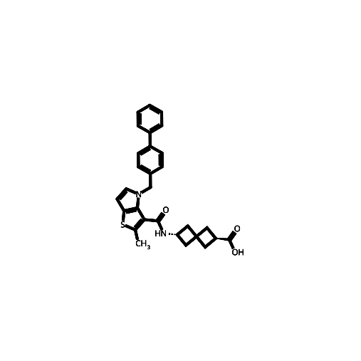 Cc1sc2ccn(Cc3ccc(-c4ccccc4)cc3)c2c1C(=O)N[C@H]1CC2(C1)C[C@H](C(=O)O)C2